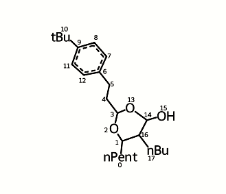 CCCCCC1OC(CCc2ccc(C(C)(C)C)cc2)OC(O)C1CCCC